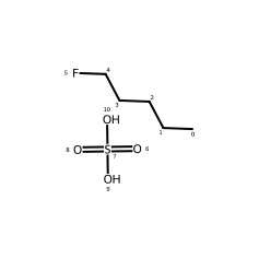 CCCCCF.O=S(=O)(O)O